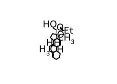 CCC(=O)O[C@]1(CCO)CC[C@H]2[C@@H]3CCC4=CCCC[C@]4(C)[C@H]3CC[C@@]21C